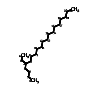 CCC[CH]C(CC)CCCCCCCCCCCCCCC